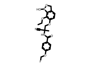 CCOc1c(OCC(C)(C#N)NC(=O)c2ccc(OCF)cc2)ccc2c1B(O)OC2